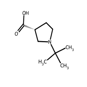 CC(C)(C)N1CC[C@@H](C(=O)O)C1